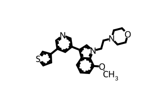 COc1cccc2c(-c3cncc(-c4ccsc4)c3)cn(CCN3CCOCC3)c12